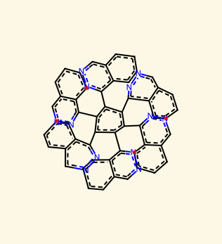 c1ccc2c(-c3c(-c4nncc5ccccc45)c(-c4nncc5ccccc45)c(-c4nncc5ccccc45)c(-c4nncc5ccccc45)c3-c3nncc4ccccc34)nncc2c1